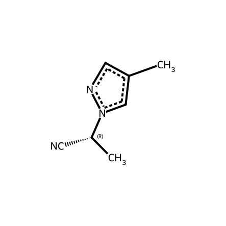 Cc1cnn([C@H](C)C#N)c1